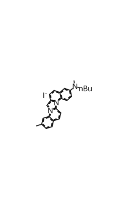 CCCCN(C)c1ccc2c(ccc3c[n+]4c5cc(C)ccc5ccc4n32)c1.[I-]